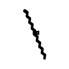 C=CCCCCCCCCCCCCCCC.Cl